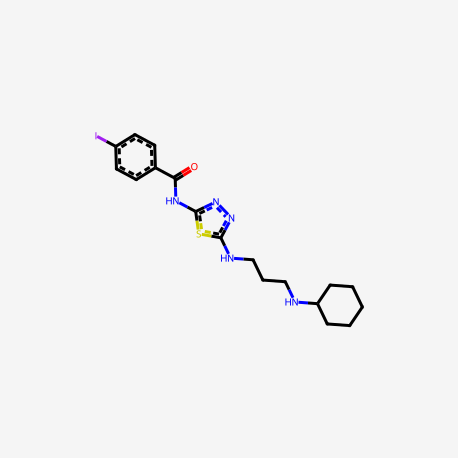 O=C(Nc1nnc(NCCCNC2CCCCC2)s1)c1ccc(I)cc1